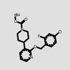 CC(C)(C)OC(=O)N1CCC(c2cccnc2OCc2ccc(Cl)cc2F)CC1